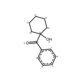 O=C(c1ccccc1)C1(O)[CH]CCCC1